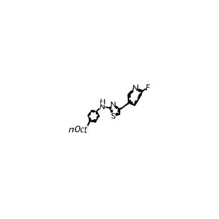 CCCCCCCCc1ccc(Nc2nc(-c3ccc(F)nc3)cs2)cc1